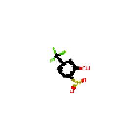 O=[SH](=O)c1ccc(C(F)(F)F)cc1O